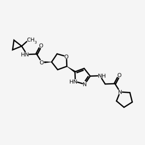 CC1(NC(=O)O[C@H]2CO[C@@H](c3cc(NCC(=O)N4CCCC4)n[nH]3)C2)CC1